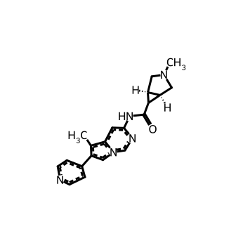 Cc1c(-c2ccncc2)cn2cnc(NC(=O)C3[C@H]4CN(C)C[C@@H]34)cc12